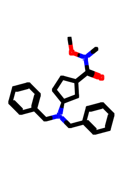 CON(C)C(=O)C1CC[C@H](N(Cc2ccccc2)Cc2ccccc2)C1